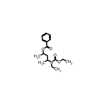 CCOC(=O)N(CC)C(C)CC(C)OC(=O)c1ccccc1